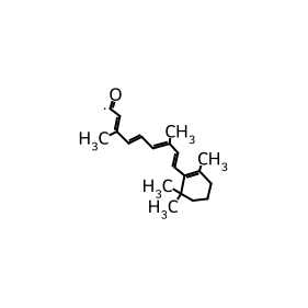 CC(C=CC=C(C)C=CC1=C(C)CCCC1(C)C)=C[C]=O